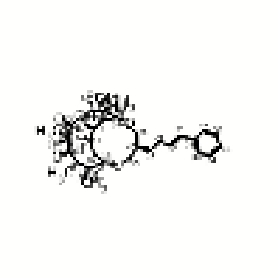 CC[C@H]1OC(=O)[C@@](C)(F)C(=O)[C@H](C)[C@@H](C)[C@@]2(C)C[C@@H](C)/C(=N\C(C)=O)[C@H](C)[C@@H](OC/C(=C\C/C=C/c3ccccc3)CO2)[C@]1(C)O